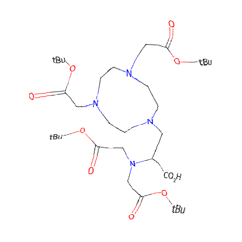 CC(C)(C)OC(=O)CN1CCN(CC(=O)OC(C)(C)C)CCN(CC(C(=O)O)N(CC(=O)OC(C)(C)C)CC(=O)OC(C)(C)C)CC1